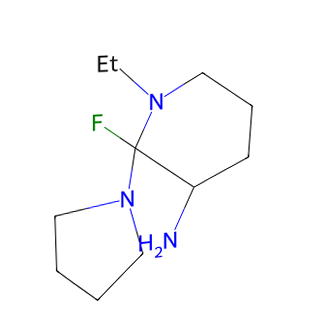 CCN1CCCC(N)C1(F)N1CCCC1